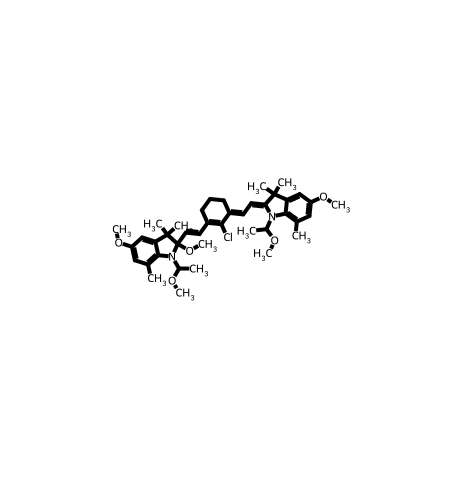 COc1cc(C)c2c(c1)C(C)(C)/C(=C/C=C1\CCCC(/C=C/C3(OC)N(C(C)OC)c4c(C)cc(OC)cc4C3(C)C)=C1Cl)N2C(C)OC